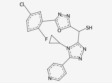 Fc1ccc(Cl)cc1-c1nnc(C(S)c2nnc(-c3ccncc3)n2C2CC2)o1